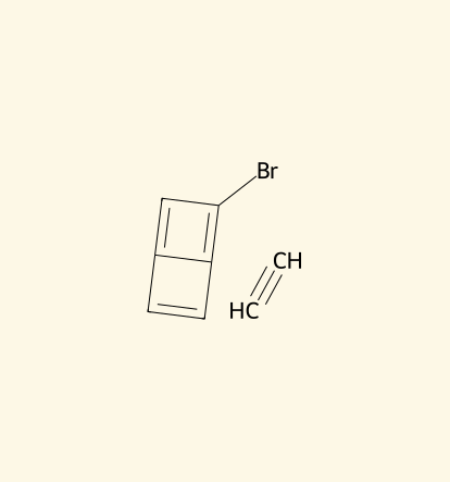 Brc1cc2ccc1-2.C#C